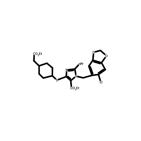 CCCc1nc(SC2CCC(CC(=O)OCC)CC2)c(C(=O)OCC)n1Cc1cc2c(cc1Cl)OCO2